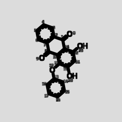 O=C1c2ccccc2C(=O)c2c(Oc3ccccc3)c(O)cc(O)c21